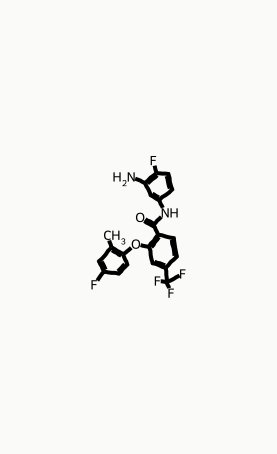 Cc1cc(F)ccc1Oc1cc(C(F)(F)F)ccc1C(=O)Nc1ccc(F)c(N)c1